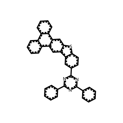 c1ccc(-c2nc(-c3ccccc3)nc(-c3ccc4sc5cc6c7ccccc7c7ccccc7c6cc5c4c3)n2)cc1